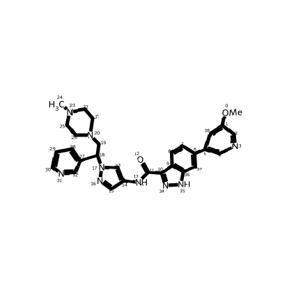 COc1cncc(-c2ccc3c(C(=O)Nc4cnn(C(CN5CCN(C)CC5)c5cccnc5)c4)n[nH]c3c2)c1